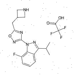 CC(C)c1nn(-c2noc(CC3CNC3)n2)c2c(F)cccc12.O=C(O)C(F)(F)F